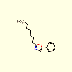 CCOC(=O)CCCCCCc1ncc(-c2ccccc2)o1